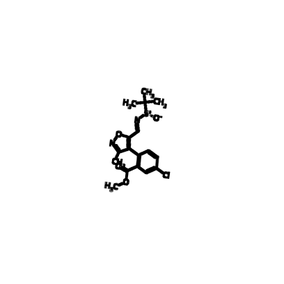 COC(=O)c1cc(Cl)ccc1-c1c(C)noc1C=N[S@@+]([O-])C(C)(C)C